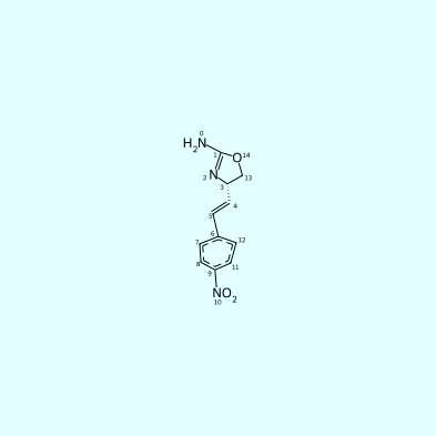 NC1=N[C@@H](C=Cc2ccc([N+](=O)[O-])cc2)CO1